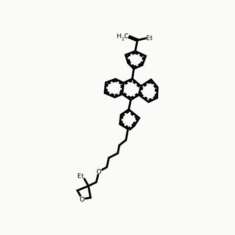 C=C(CC)c1ccc(-c2c3ccccc3c(-c3ccc(CCCCCOCC4(CC)COC4)cc3)c3ccccc23)cc1